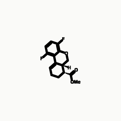 COC(=O)[C@@H]1CCC=C2c3c(F)ccc(F)c3OC[C@H]21